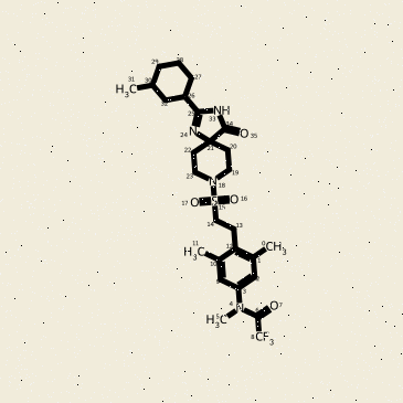 Cc1cc(N(C)C(=O)C(F)(F)F)cc(C)c1CCS(=O)(=O)N1CCC2(CC1)N=C(C1CCCC(C)C1)NC2=O